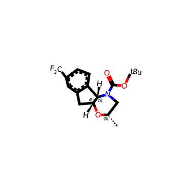 C[C@H]1CN(C(=O)OC(C)(C)C)[C@H]2c3ccc(C(F)(F)F)cc3C[C@H]2O1